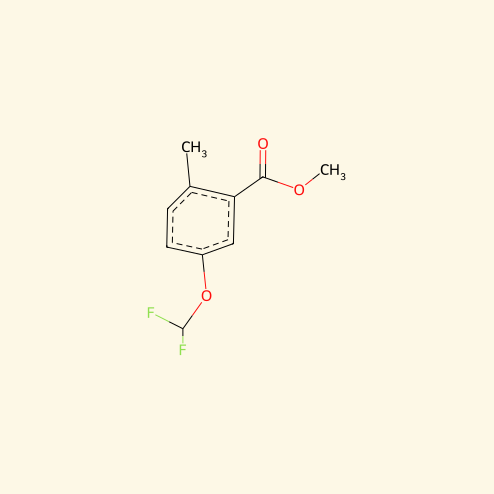 COC(=O)c1cc(OC(F)F)ccc1C